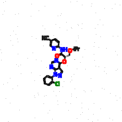 CC(C)OC[C@H](Oc1ncnc2c1cnn2-c1ccccc1Cl)C(=O)Nc1ccc(C#N)cn1